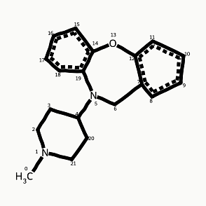 CN1CCC(N2Cc3ccccc3Oc3ccccc32)CC1